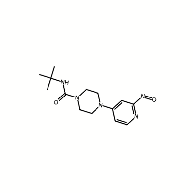 CC(C)(C)NC(=O)N1CCN(c2ccnc(N=O)c2)CC1